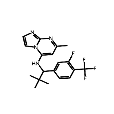 Cc1cc(NC(c2ccc(C(F)(F)F)c(F)c2)C(C)(C)C)n2ccnc2n1